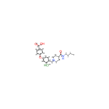 CCCCNC(=O)C1CCN(Cc2ccc(Oc3ccc(C(=O)O)cc3)cc2)CC1.Cl